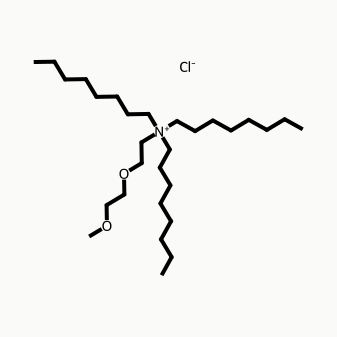 CCCCCCCC[N+](CCCCCCCC)(CCCCCCCC)CCOCCOC.[Cl-]